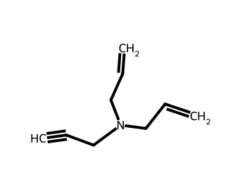 C#CCN(CC=C)CC=C